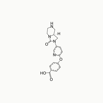 O=C(O)c1ccc(Oc2ccc(N3C[C@@H]4CNCCN4C3=O)cn2)cc1